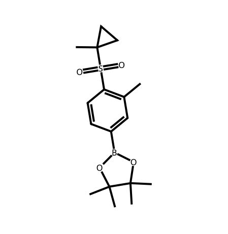 Cc1cc(B2OC(C)(C)C(C)(C)O2)ccc1S(=O)(=O)C1(C)CC1